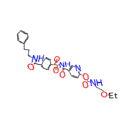 CCOCCNC(=O)Oc1ccc(C(=O)NS(=O)(=O)c2ccc(C(=O)NCCCc3ccccc3)cc2)cn1